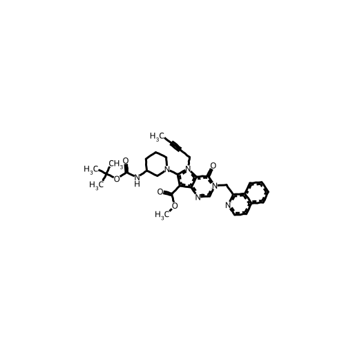 CC#CCn1c(N2CCCC(NC(=O)OC(C)(C)C)C2)c(C(=O)OC)c2ncn(Cc3nccc4ccccc34)c(=O)c21